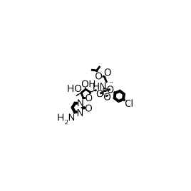 CC(C)OC(=O)[C@H](C)NP(=O)(OC[C@H]1O[C@@H](n2ccc(N)nc2=O)[C@](C)(O)[C@@H]1O)Oc1ccc(Cl)cc1